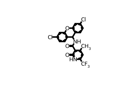 Cc1cc(C(F)(F)F)[nH]c(=O)c1C(=O)NC1c2ccc(Cl)cc2Oc2cc(Cl)ccc21